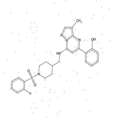 Cc1cnn2c(NCC3CCN(S(=O)(=O)c4ccccc4F)CC3)cc(-c3ccccc3O)nc12